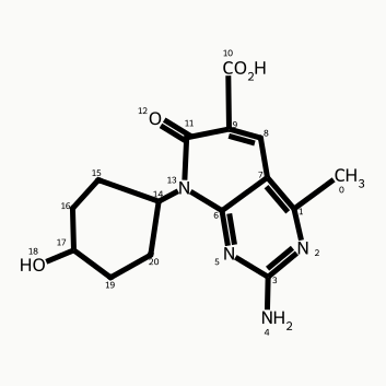 Cc1nc(N)nc2c1cc(C(=O)O)c(=O)n2C1CCC(O)CC1